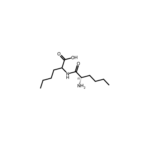 CCCCC(NC(=O)[C@@H](N)CCCC)C(=O)O